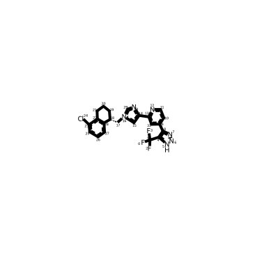 FC(F)(F)c1[nH]nnc1-c1ccnc(-c2cn(C[C@H]3CCCc4c(Cl)cccc43)cn2)c1